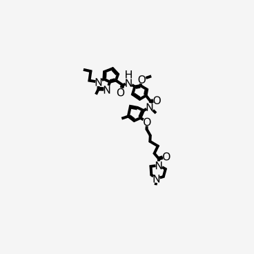 CCCn1c(C)nc2c(C(=O)Nc3ccc(C(=O)N(C)c4ccc(C)cc4OCCCCCC(=O)N4CCN(C)CC4)cc3OC)cccc21